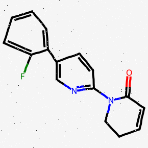 O=C1C=CCCN1c1ccc(-c2ccccc2F)cn1